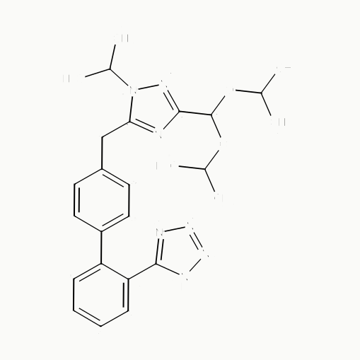 CC(C)OC(OC(C)C)c1nc(Cc2ccc(-c3ccccc3-c3nnn[nH]3)cc2)n(C(C)C)n1